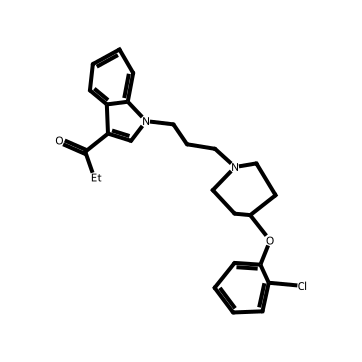 CCC(=O)c1cn(CCCN2CCC(Oc3ccccc3Cl)CC2)c2ccccc12